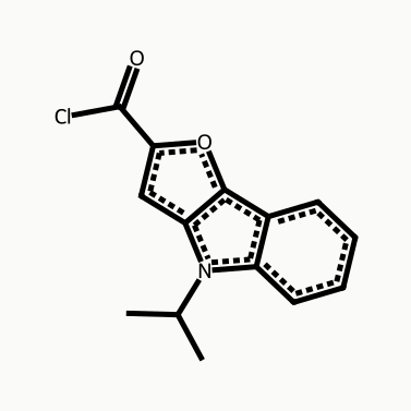 CC(C)n1c2ccccc2c2oc(C(=O)Cl)cc21